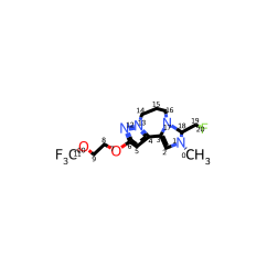 CN1C=C2c3cc(OCCOC(F)(F)F)nn3CCCN2C1CF